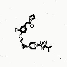 CC(C)c1noc(N2CCC([C@H]3C[C@H]3CCOc3ccc(CC(=O)N4CCC4)cc3F)CC2)n1